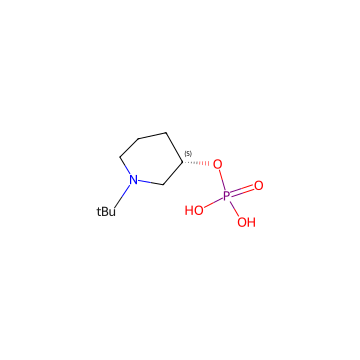 CC(C)(C)N1CCC[C@H](OP(=O)(O)O)C1